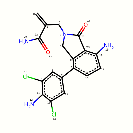 C=C(CN1Cc2c(-c3cc(Cl)c(N)c(Cl)c3)ccc(N)c2C1=O)C(N)=O